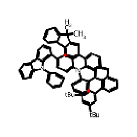 CC(C)(C)c1cc(-c2cccc3cccc(-c4ccccc4N(c4ccc(-c5cccc6c7ccccc7n(-c7ccccc7)c56)cc4)c4ccccc4-c4ccc5c(c4)C(C)(C)c4ccccc4-5)c23)cc(C(C)(C)C)c1